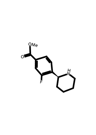 COC(=O)c1ccc([C@@H]2CCCCN2)c(F)c1